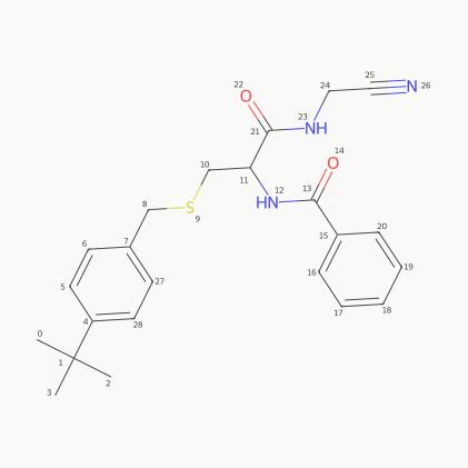 CC(C)(C)c1ccc(CSCC(NC(=O)c2ccccc2)C(=O)NCC#N)cc1